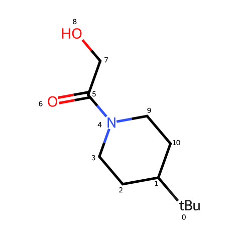 CC(C)(C)C1CCN(C(=O)CO)CC1